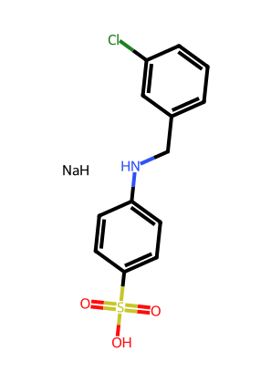 O=S(=O)(O)c1ccc(NCc2cccc(Cl)c2)cc1.[NaH]